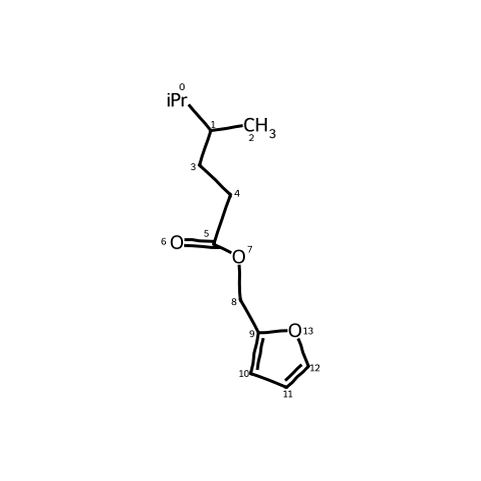 CC(C)C(C)CCC(=O)OCc1ccco1